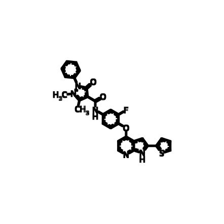 Cc1c(C(=O)Nc2ccc(Oc3ccnc4[nH]c(-c5cccs5)cc34)c(F)c2)c(=O)n(-c2ccccc2)n1C